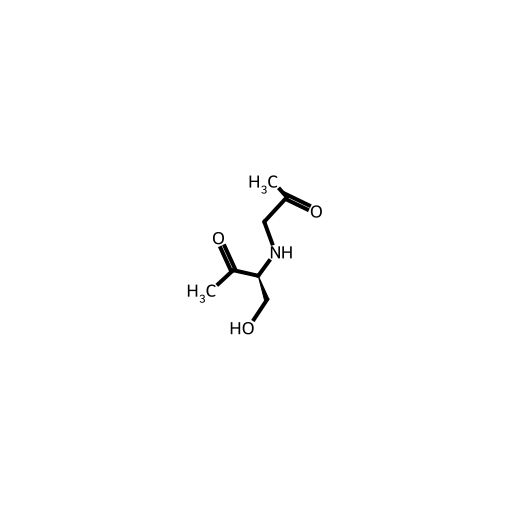 CC(=O)CN[C@@H](CO)C(C)=O